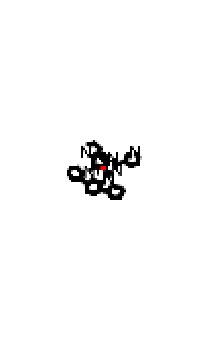 c1ccc(-n2c3ccccc3c3ccc4c5ccccc5n(-c5nc(-c6cccnc6)nc(-c6cccnc6)n5)c4c32)cc1